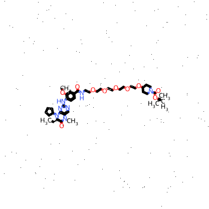 CC[C@@H]1C(=O)N(C)c2cnc(Nc3ccc(C(=O)NCCOCCOCCOCCOCCOC4CCN(C(=O)OC(C)(C)C)CC4)cc3OC)nc2N1C1CCCC1